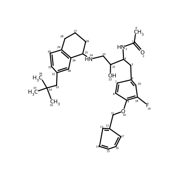 CC(=O)NC(Cc1ccc(OCc2ccccc2)c(F)c1)C(O)CNC1CCCc2ccc(CC(C)(C)C)cc21